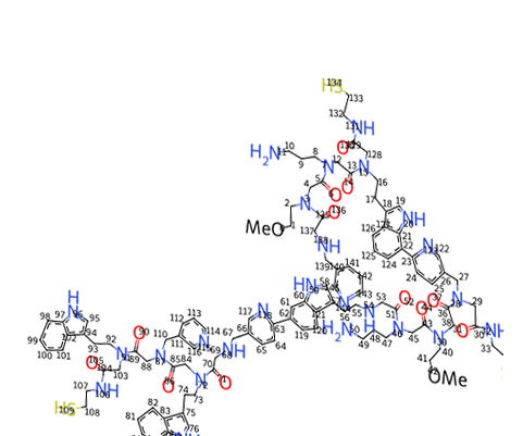 COCCN(CC(=O)N(CCCN)CC(=O)N(CCc1c[nH]c2c(-c3ccc(CN(CC(=O)NCCS)C(=O)CN(CCOC)C(=O)CN(CCCN)C(=O)CNCCc4c[nH]c5cc(-c6ccc(CNCC(=O)N(CCc7c[nH]c8ccccc78)CC(=O)N(CC(=O)N(CCc7c[nH]c8ccccc78)CC(=O)NCCS)Cc7cccnc7)cn6)ccc45)cn3)cccc12)CC(=O)NCCS)C(=O)CNCc1cccnc1